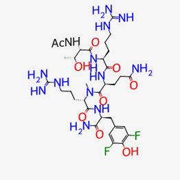 CC(=O)N[C@H](C(=O)N[C@@H](CCCNC(=N)N)C(=O)N[C@@H](CCC(N)=O)C(=O)N(C)[C@@H](CCCNC(=N)N)C(=O)N[C@@H](Cc1cc(F)c(O)c(F)c1)C(N)=O)[C@@H](C)O